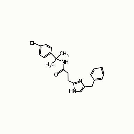 CC(C)(NC(=O)CCc1nc(Cc2ccccc2)c[nH]1)c1ccc(Cl)cc1